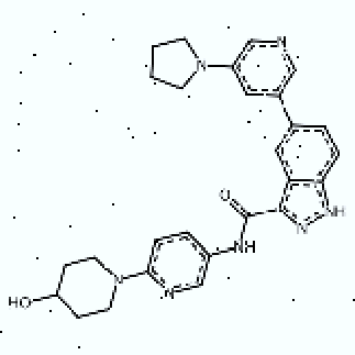 O=C(Nc1ccc(N2CCC(O)CC2)nc1)c1n[nH]c2ccc(-c3cncc(N4CCCC4)c3)cc12